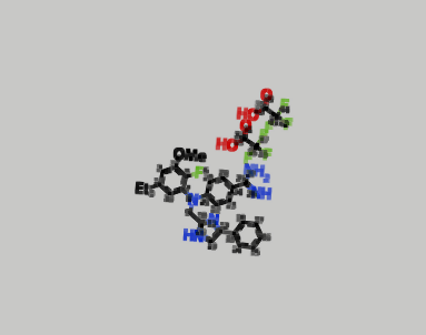 CCc1cc(OC)c(F)c(N(Cc2nc(-c3ccccc3)c[nH]2)c2ccc(C(=N)N)cc2)c1.O=C(O)C(F)(F)F.O=C(O)C(F)(F)F